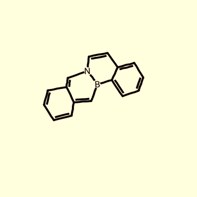 C1=CN2C=c3ccccc3=CB2c2ccccc21